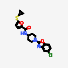 O=C(NC1CCN(c2nc3cc(Cl)ccc3o2)CC1)c1ccc(SC2CC2)o1